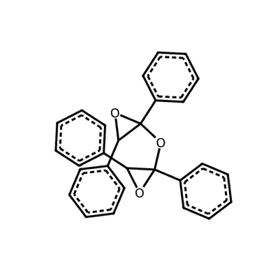 c1ccc(C2OC2(OC2(c3ccccc3)OC2c2ccccc2)c2ccccc2)cc1